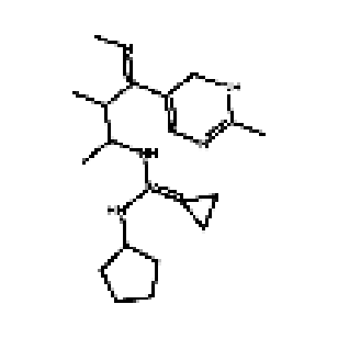 C/N=C(/C1=CN=C(C)NC1)C(C)C(C)NC(NC1CCCC1)=C1CC1